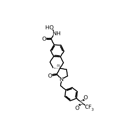 O=C(NO)c1ccc2c(c1)CC[C@@]1(CCN(Cc3ccc(S(=O)(=O)C(F)(F)F)cc3)C1=O)C2